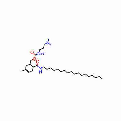 CCCCCCCCCCCCCCCCCCNC(=O)C1CC=C(C)CC1COC(=O)NCCCN(C)C